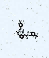 CC(Cc1cccc(CC(=O)NCc2cc(C(F)(F)F)ccc2F)c1)NC[C@@H](O)c1ccc(N)nc1